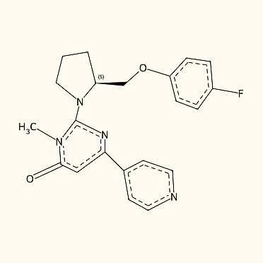 Cn1c(N2CCC[C@H]2COc2ccc(F)cc2)nc(-c2ccncc2)cc1=O